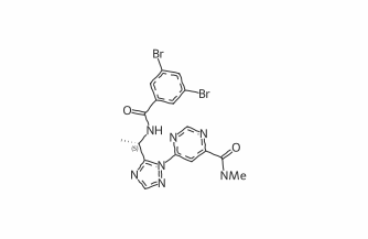 CNC(=O)c1cc(-n2ncnc2[C@H](C)NC(=O)c2cc(Br)cc(Br)c2)ncn1